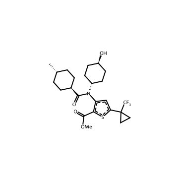 COC(=O)c1sc(C2(C(F)(F)F)CC2)cc1N(C(=O)[C@H]1CC[C@H](C)CC1)[C@H]1CC[C@H](O)CC1